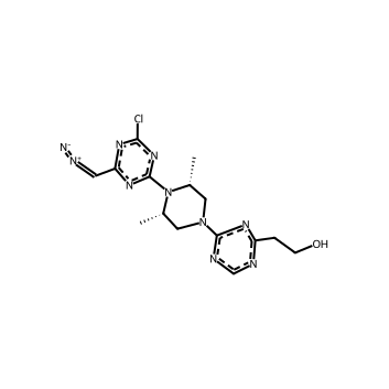 C[C@@H]1CN(c2ncnc(CCO)n2)C[C@H](C)N1c1nc(Cl)nc(C=[N+]=[N-])n1